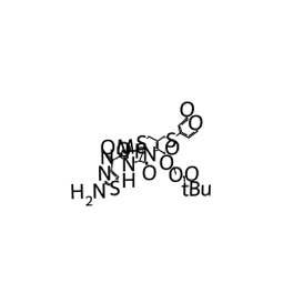 CO/N=C(\C(=O)N[C@@H]1C(=O)N2C(C(=O)OCOC(=O)C(C)(C)C)=C(CSc3ccoc(=O)c3)CS[C@@H]12)c1csc(N)n1